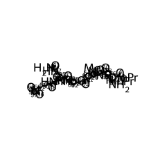 CCCN(CCC)C(=O)C1=Cc2cc(OC)c(C(=O)Nc3cnc4c(c3)CN(C(=O)OCc3ccc(NC(=O)[C@H](CCCNC(N)=O)NC(=O)CNC(=O)CCCCCN5C(=O)C=CC5=O)cc3)CC4)cc2N=C(N)C1